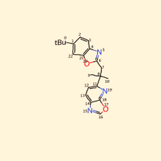 CC(C)(C)c1ccc2nc(CC(C)(C)c3ccc4ncoc4n3)oc2c1